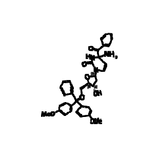 COc1ccc(C(OC[C@H]2O[C@@H](N3C=CC(N)(C(=O)c4ccccc4)NC3=O)C[C@@H]2O)(c2ccccc2)c2ccc(OC)cc2)cc1